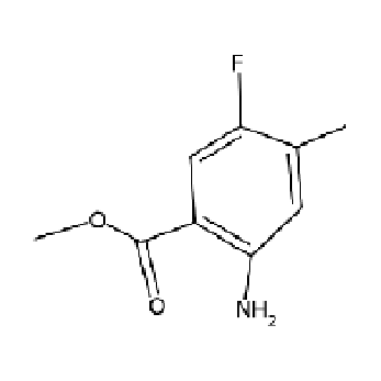 COC(=O)c1cc(F)c(C)cc1N